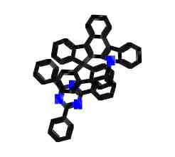 c1ccc(-c2nc(-c3ccccc3)nc(-c3cccc(-n4c5ccccc5c5c6ccccc6c6c(c54)C4(c5ccccc5-c5ccccc54)c4ccccc4-6)c3)n2)cc1